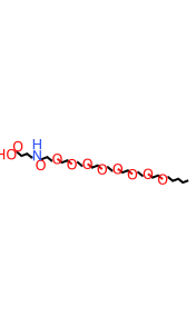 CCCCCOCCOCCOCCOCCOCCOCCOCCOCCC(=O)NCCCC(=O)O